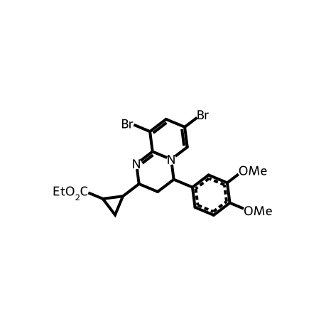 CCOC(=O)C1CC1C1CC(c2ccc(OC)c(OC)c2)N2C=C(Br)C=C(Br)C2=N1